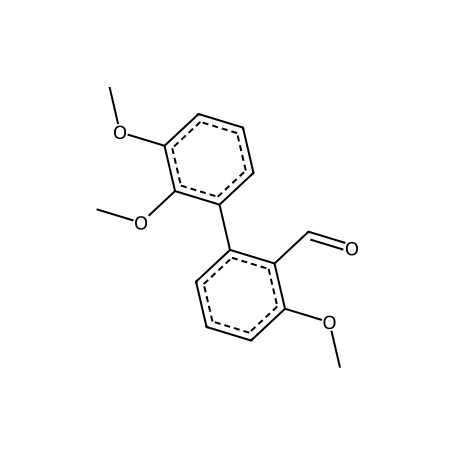 COc1cccc(-c2cccc(OC)c2OC)c1C=O